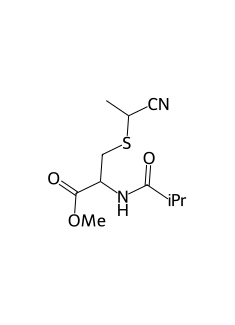 COC(=O)C(CSC(C)C#N)NC(=O)C(C)C